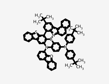 CC(C)(C)c1ccc(N(c2ccc(C(C)(C)C)cc2)c2ccc3c(c2)B2c4c(cc5c(sc6ccccc65)c4-c4cc(C(C)(C)C)cc5c6c7ccccc7ccc6n2c45)N3c2cccc3c2oc2ccccc23)cc1